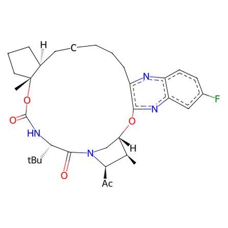 CC(=O)[C@@H]1[C@H](C)[C@@H]2CN1C(=O)[C@H](C(C)(C)C)NC(=O)O[C@]1(C)CCC[C@H]1CCCCCc1nc3ccc(F)cc3nc1O2